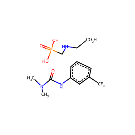 CN(C)C(=O)Nc1cccc(C(F)(F)F)c1.O=C(O)CNCP(=O)(O)O